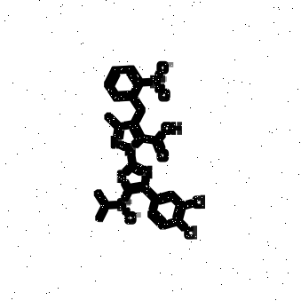 Cc1nn(-c2nc(-c3ccc(Cl)c(Cl)c3)c([S+]([O-])C(C)C)s2)c(C(=O)O)c1Cc1ccccc1[N+](=O)[O-]